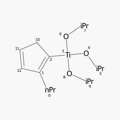 CCCC1=[C]([Ti]([O]C(C)C)([O]C(C)C)[O]C(C)C)CC=C1